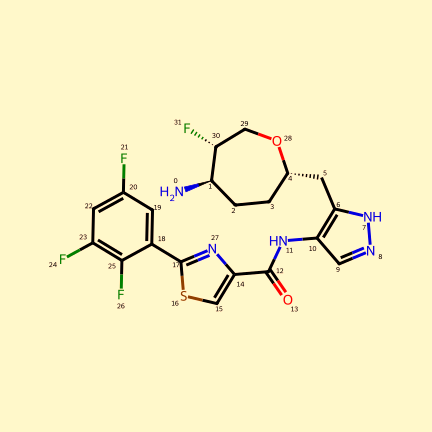 N[C@@H]1CC[C@@H](Cc2[nH]ncc2NC(=O)c2csc(-c3cc(F)cc(F)c3F)n2)OC[C@H]1F